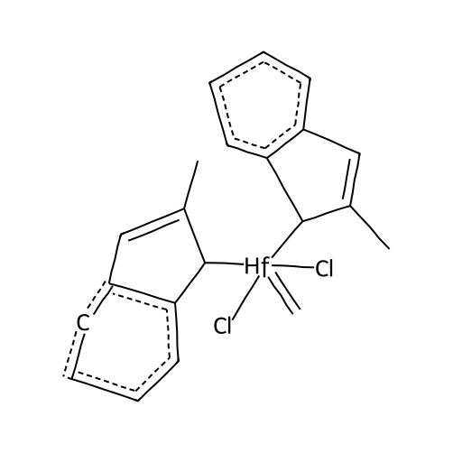 [CH2]=[Hf]([Cl])([Cl])([CH]1C(C)=Cc2ccccc21)[CH]1C(C)=Cc2ccccc21